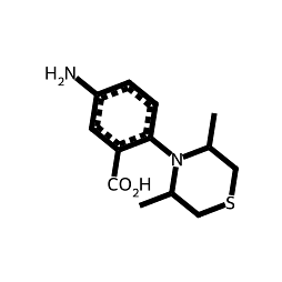 CC1CSCC(C)N1c1ccc(N)cc1C(=O)O